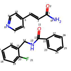 NC(=O)/C=C/c1ccncc1.O=C(NCc1ccccc1F)c1ccccc1